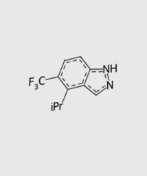 CC(C)c1c(C(F)(F)F)ccc2[nH]ncc12